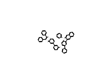 c1ccc(-c2nc3ccc(-c4cccc(-n5c6ccccc6c6cc7c8cc9ccccc9cc8n(-c8ccccc8)c7cc65)c4)cc3nc2-c2ccccc2)cc1